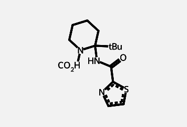 CC(C)(C)C1(NC(=O)c2nccs2)CCCCN1C(=O)O